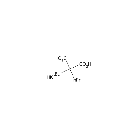 CCCC(C(=O)O)(C(=O)O)C(C)(C)C.[KH]